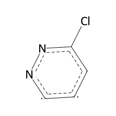 Clc1c[c][c]nn1